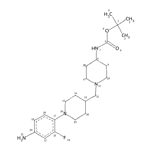 CC(C)(C)OC(=O)NC1CCN(CC2CCN(c3ccc(N)cc3F)CC2)CC1